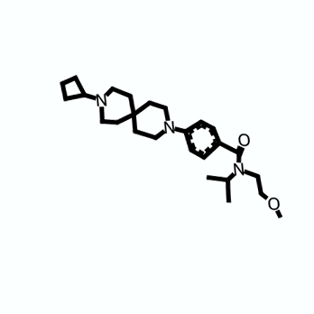 COCCN(C(=O)c1ccc(N2CCC3(CC2)CCN(C2CCC2)CC3)cc1)C(C)C